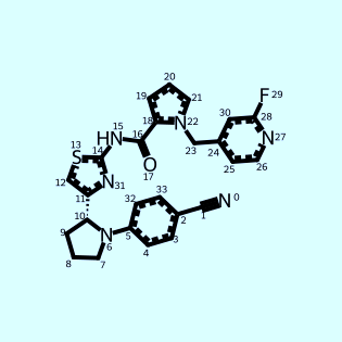 N#Cc1ccc(N2CCC[C@@H]2c2csc(NC(=O)c3cccn3Cc3ccnc(F)c3)n2)cc1